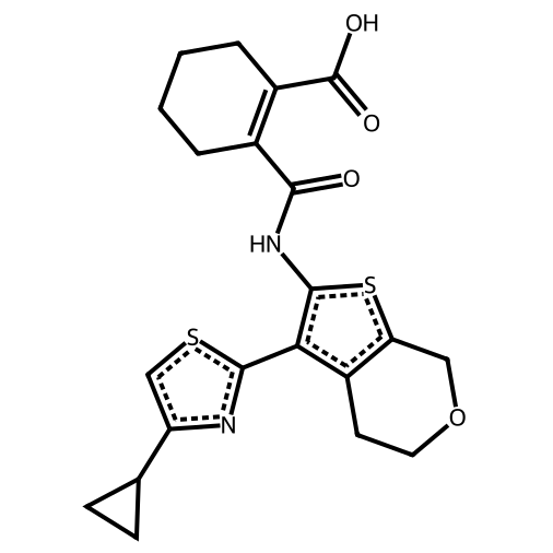 O=C(O)C1=C(C(=O)Nc2sc3c(c2-c2nc(C4CC4)cs2)CCOC3)CCCC1